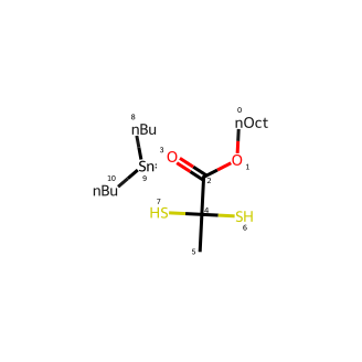 CCCCCCCCOC(=O)C(C)(S)S.CCC[CH2][Sn][CH2]CCC